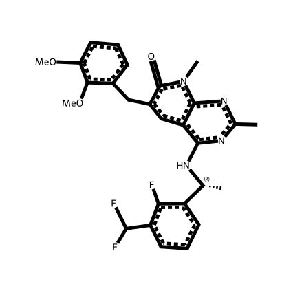 COc1cccc(Cc2cc3c(N[C@H](C)c4cccc(C(F)F)c4F)nc(C)nc3n(C)c2=O)c1OC